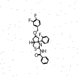 O=C(NC1=N[C@@]2(c3ccccc3F)C[C@H](OCc3ccc(F)c(F)c3)C[C@H]2CS1)c1ccccc1